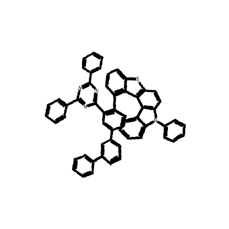 c1ccc(-c2cccc(-c3ccc(-c4cccc5sc6ccc7c(c8ccccc8n7-c7ccccc7)c6c45)c(-c4nc(-c5ccccc5)nc(-c5ccccc5)n4)c3)c2)cc1